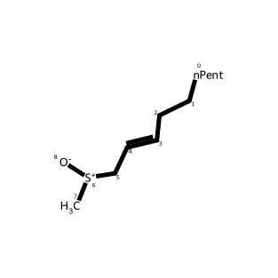 CCCCCCC/C=C/C[S+](C)[O-]